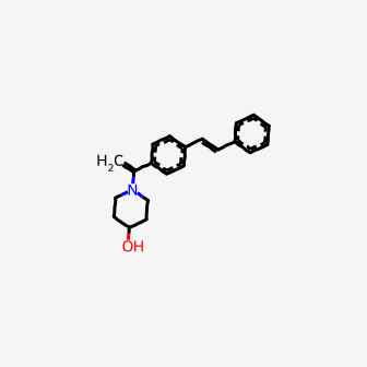 C=C(c1ccc(/C=C/c2ccccc2)cc1)N1CCC(O)CC1